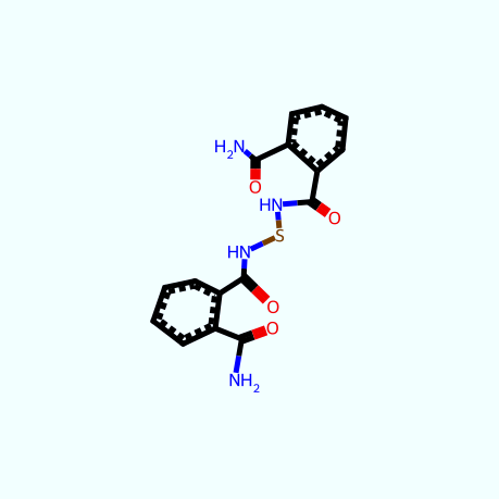 NC(=O)c1ccccc1C(=O)NSNC(=O)c1ccccc1C(N)=O